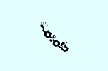 CCCCc1ccc(S(=O)(=O)c2ccc(C[N+]34C=CC=CC3=NC=C4)cc2)cc1